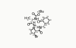 C[C@H](NC(=O)OC(C)(C)C)C(=O)Nn1ccc(Br)c1C(=O)NCc1ccccc1Cl